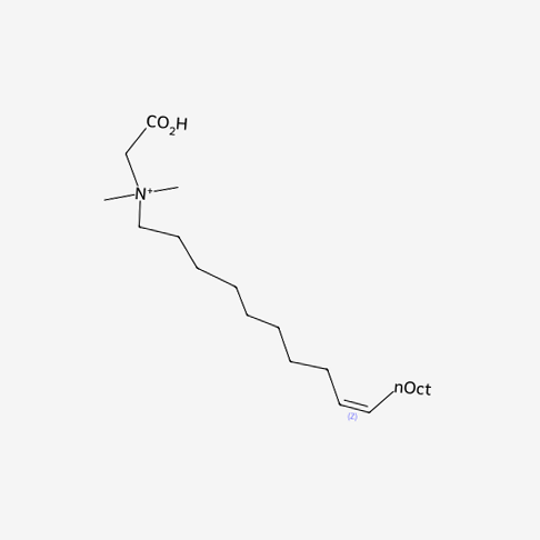 CCCCCCCC/C=C\CCCCCCCC[N+](C)(C)CC(=O)O